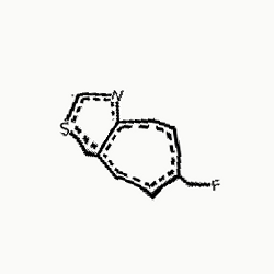 Fc1ccc2s[c]nc2c1